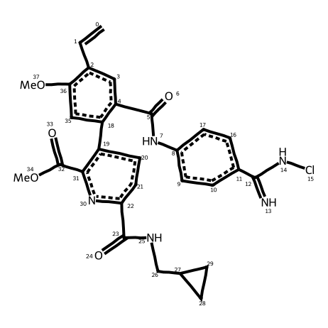 C=Cc1cc(C(=O)Nc2ccc(C(=N)NCl)cc2)c(-c2ccc(C(=O)NCC3CC3)nc2C(=O)OC)cc1OC